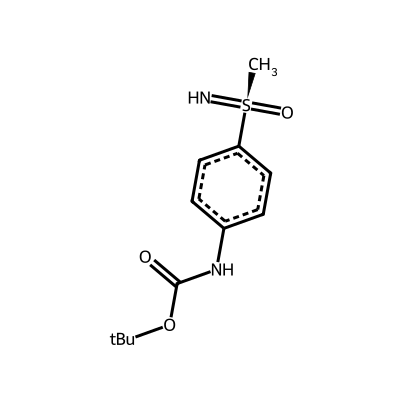 CC(C)(C)OC(=O)Nc1ccc([S@](C)(=N)=O)cc1